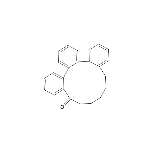 O=C1CCCCCc2ccccc2-c2ccccc2-c2ccccc21